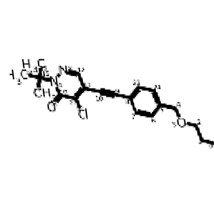 CCCOCc1ccc(C#Cc2cnn(C(C)(C)C)c(=O)c2Cl)cc1